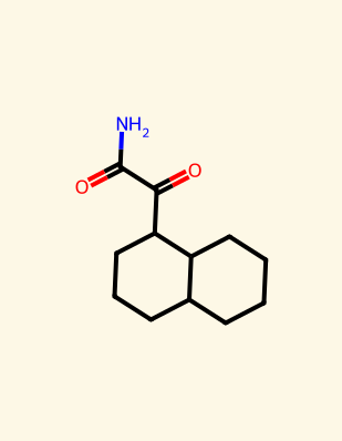 NC(=O)C(=O)C1CCCC2CCCCC21